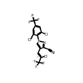 N#Cc1nn(-c2c(Cl)cc(C(F)(F)F)cc2Cl)cc1/C=C(\Cl)C(F)(F)F